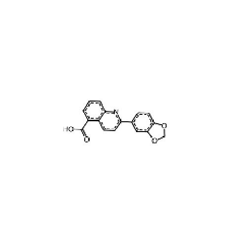 O=C(O)c1cccc2nc(-c3ccc4c(c3)OCO4)ccc12